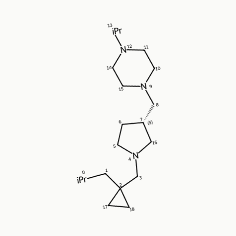 CC(C)CC1(CN2CC[C@H](CN3CCN(C(C)C)CC3)C2)CC1